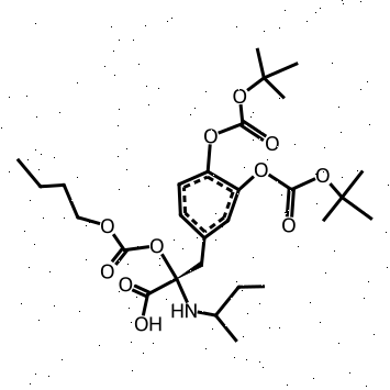 CCCCOC(=O)O[C@](Cc1ccc(OC(=O)OC(C)(C)C)c(OC(=O)OC(C)(C)C)c1)(NC(C)CC)C(=O)O